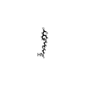 CNCCCOCCCN1CCC(CC(C)C)CC1